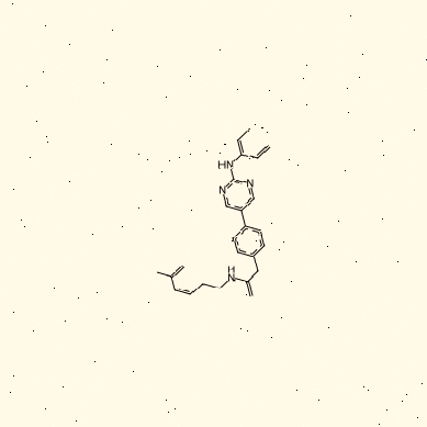 C=C/C(=C\C)Nc1ncc(-c2ccc(CC(=C)NCC/C=C\C(=C)C)cc2)cn1